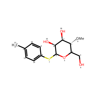 CO[C@@H]1C(CO)OC(Sc2ccc(C)cc2)[C@@H](O)[C@H]1O